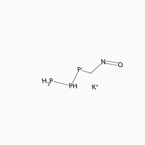 O=NC[P-]PP.[K+]